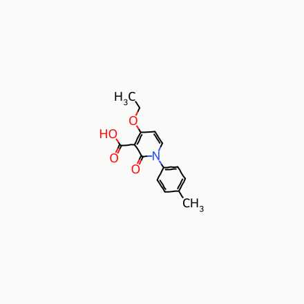 CCOc1ccn(-c2ccc(C)cc2)c(=O)c1C(=O)O